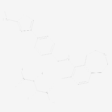 CNc1nc(-c2ccc(CNc3c(Cl)ccc4c3CCNCC4)cc2)co1.O=C(O)C(O)C(O)C(=O)O